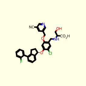 N#Cc1cncc(COc2cc(O[C@H]3CCc4c(-c5ccccc5F)cccc43)c(Cl)cc2CNC(CO)C(=O)O)c1